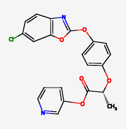 C[C@@H](Oc1ccc(Oc2nc3ccc(Cl)cc3o2)cc1)C(=O)Oc1cccnc1